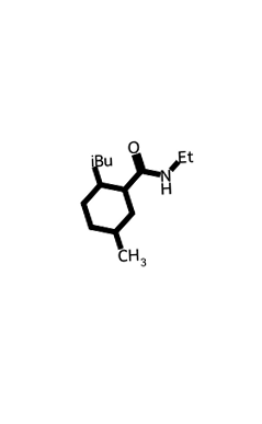 CCNC(=O)C1CC(C)CCC1C(C)CC